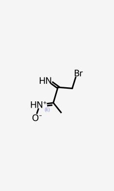 C/C(=[NH+]\[O-])C(=N)CBr